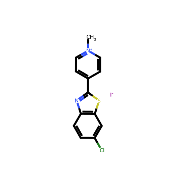 C[n+]1ccc(-c2nc3ccc(Cl)cc3s2)cc1.[I-]